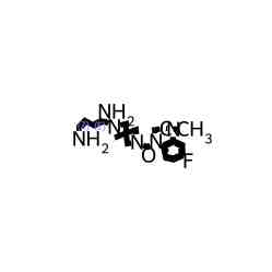 CN1CCN(C(=O)N2CC3(C2)CN(/C(N)=C/C=C\N)C3)c2ccc(F)cc21